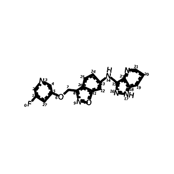 Fc1cncc(OCc2noc3cc(Nc4n[nH]c5cccnc45)ccc23)c1